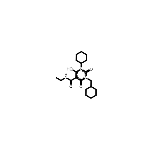 CCNC(=O)c1c(O)n(C2CCCCC2)c(=O)n(CC2CCCCC2)c1=O